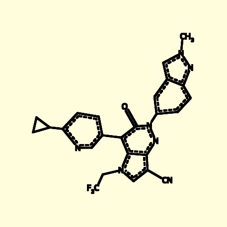 Cn1cc2cc(-n3nc4c(C#N)cn(CC(F)(F)F)c4c(-c4ccc(C5CC5)nc4)c3=O)ccc2n1